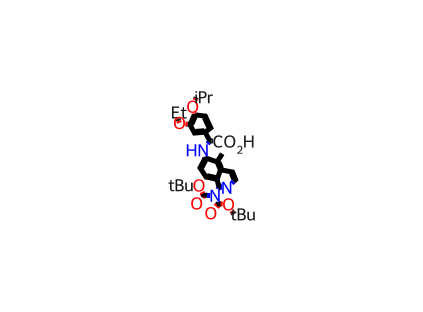 CCOc1cc(C(Nc2ccc3c(N(C(=O)OC(C)(C)C)C(=O)OC(C)(C)C)nccc3c2C)C(=O)O)ccc1OC(C)C